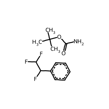 CC(C)(C)OC(N)=O.FC(F)C(F)c1ccccc1